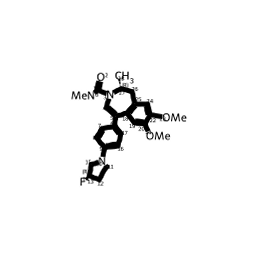 CNC(=O)N1C=C(c2ccc(N3CC[C@@H](F)C3)cc2)c2cc(OC)c(OC)cc2C[C@H]1C